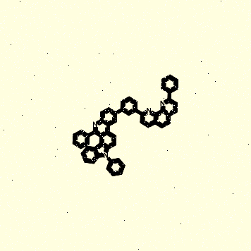 c1ccc(-c2ccc3ccc4ccc(-c5cccc(-c6ccc7nc(-c8ccccc8)c8c(ccc9c8c8ccccc8n9-c8ccccc8)c7c6)c5)nc4c3n2)cc1